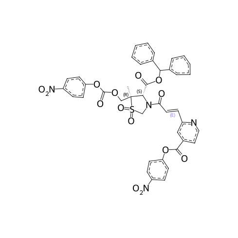 C[C@]1(COC(=O)Oc2ccc([N+](=O)[O-])cc2)[C@H](C(=O)OC(c2ccccc2)c2ccccc2)N(C(=O)/C=C/c2cc(C(=O)Oc3ccc([N+](=O)[O-])cc3)ccn2)CS1(=O)=O